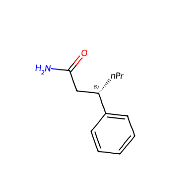 CCC[C@@H](CC(N)=O)c1ccccc1